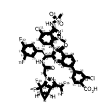 Cn1nc(NS(C)(=O)=O)c2c(Cl)ccc(-n3c([C@H](Cc4cc(F)cc(F)c4)NC(=O)Cn4nc(C(F)F)c5c4C(F)(F)[C@@H]4C[C@H]54)nc4cc(-c5ccc(C(=O)O)c(Cl)c5)ccc4c3=O)c21